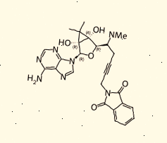 CNC(CC#CCN1C(=O)c2ccccc2C1=O)[C@H]1O[C@@H](n2cnc3c(N)ncnc32)[C@@]2(O)C(C)(C)[C@@]12O